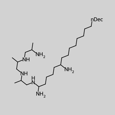 CCCCCCCCCCCCCCCCCCC(N)CCCCC(N)NCC(C)NCC(C)NCC(C)N